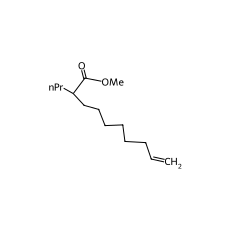 C=CCCCCCCC(CCC)C(=O)OC